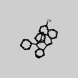 CC/C1=C(/c2ccccc2)c2cc#ccc2/C(c2ccccc2)=C/c2cccc3c(C#N)ccc1c23